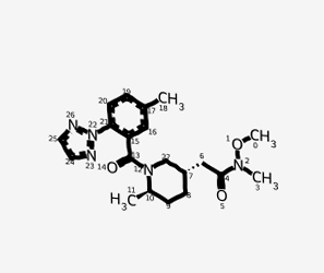 CON(C)C(=O)C[C@@H]1CC[C@@H](C)N(C(=O)c2cc(C)ccc2-n2nccn2)C1